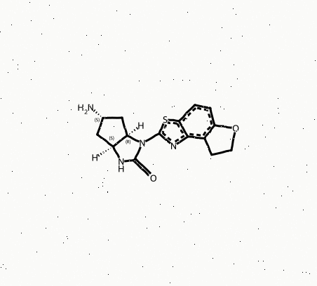 N[C@H]1C[C@@H]2NC(=O)N(c3nc4c5c(ccc4s3)OCC5)[C@@H]2C1